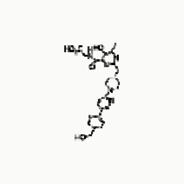 Cc1nc(CC2CCN(c3ccc(-c4ccc(CO)cc4)cn3)CC2)nc(C(=O)NCC(=O)O)c1O